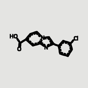 O=C(O)c1ccn2cc(-c3cccc(Cl)c3)nc2c1